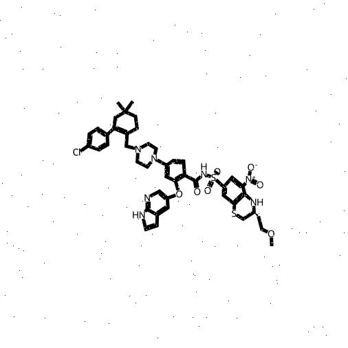 COCC[C@@H]1CSc2cc(S(=O)(=O)NC(=O)c3ccc(N4CCN(CC5=C(c6ccc(Cl)cc6)CC(C)(C)CC5)CC4)cc3Oc3cnc4[nH]ccc4c3)cc([N+](=O)[O-])c2N1